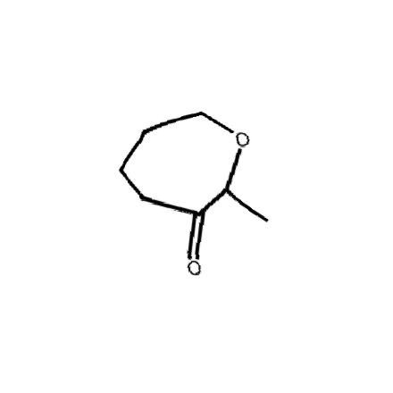 CC1OCCCCC1=O